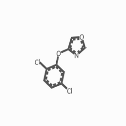 Clc1ccc(Cl)c(Oc2co[c]n2)c1